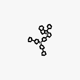 c1ccc(-c2ccc(N(c3ccc(-c4ccccc4)cc3)c3ccc(-c4cccc5c(-c6ccccc6)c6c7ccccc7ccc6n45)cc3)cc2)cc1